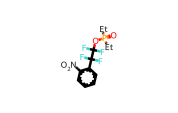 CCP(=O)(CC)OC(F)(F)C(F)(F)c1ccccc1[N+](=O)[O-]